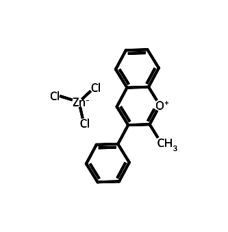 Cc1[o+]c2ccccc2cc1-c1ccccc1.[Cl][Zn-]([Cl])[Cl]